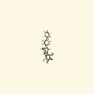 Cn1c(=O)c2c(nc3[nH]c(-c4ccc(-c5ccccc5)cc4)cn32)n(C)c1=O